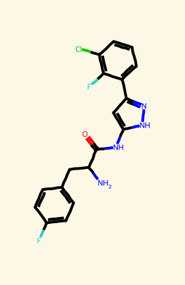 NC(Cc1ccc(F)cc1)C(=O)Nc1cc(-c2cccc(Cl)c2F)n[nH]1